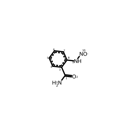 NC(=O)c1ccccc1N[N+]=O